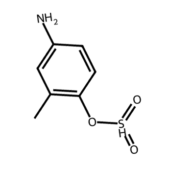 Cc1cc(N)ccc1O[SH](=O)=O